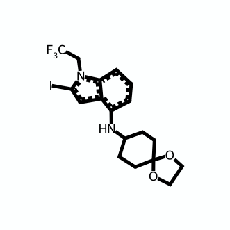 FC(F)(F)Cn1c(I)cc2c(NC3CCC4(CC3)OCCO4)cccc21